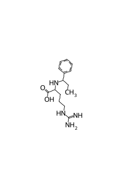 CCC(NC(CCCNC(=N)N)C(=O)O)c1ccccc1